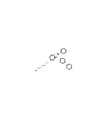 COC(=O)CCCCCOc1ccc2nc(-c3ccccc3)n(-c3ccc(-c4ccccc4)cc3)c2c1